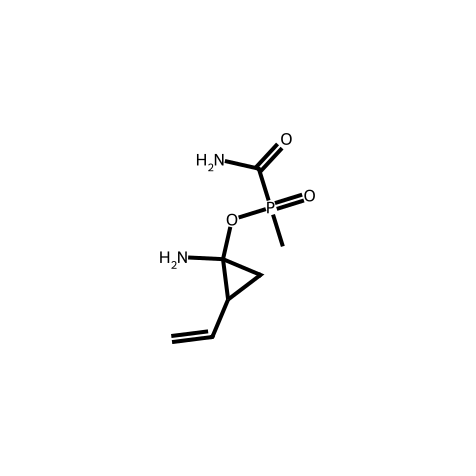 C=CC1CC1(N)OP(C)(=O)C(N)=O